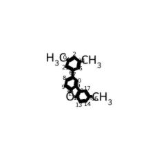 Cc1cc(C)cc(-c2ccc3oc4ccc(C)cc4c3c2)c1